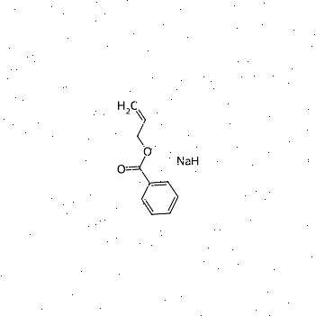 C=CCOC(=O)c1ccccc1.[NaH]